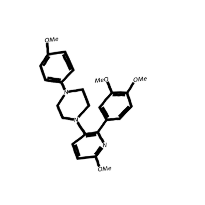 COc1ccc(N2CCN(c3ccc(OC)nc3-c3ccc(OC)c(OC)c3)CC2)cc1